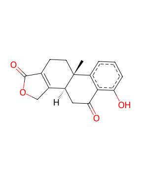 C[C@]12CCC3=C(COC3=O)[C@@H]1CC(=O)c1c(O)cccc12